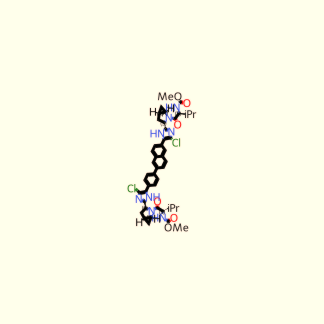 COC(=O)N[C@H](C(=O)N1[C@@H]2C[C@@H]2C[C@H]1c1nc(Cl)c(-c2ccc(-c3ccc4cc(-c5[nH]c([C@@H]6C[C@H]7C[C@H]7N6C(=O)[C@@H](NC(=O)OC)C(C)C)nc5Cl)ccc4c3)cc2)[nH]1)C(C)C